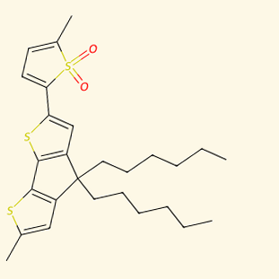 CCCCCCC1(CCCCCC)c2cc(C)sc2-c2sc(C3=CC=C(C)S3(=O)=O)cc21